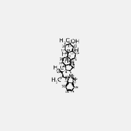 C[C@H](C(=O)[C@H]1CC[C@H]2[C@@H]3CC[C@@H]4C[C@](C)(O)CC[C@@H]4[C@H]3CC[C@]12C)n1nnc2ccccc21